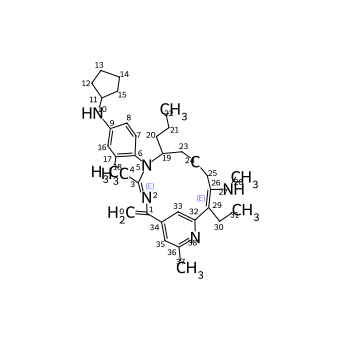 C=C1/N=C(\C)N(c2ccc(NC3CCCC3)cc2C)C(CCC)CCC/C(NC)=C(/CC)c2cc1cc(C)n2